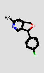 Cc1[c]c2c(cn1)C(c1ccc(Cl)cc1)OC2